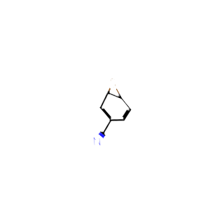 N#CC1=CC2SC2C=C1